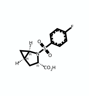 O=C(O)[C@@H]1C[C@H]2C[C@H]2N1S(=O)(=O)c1ccc(F)cc1